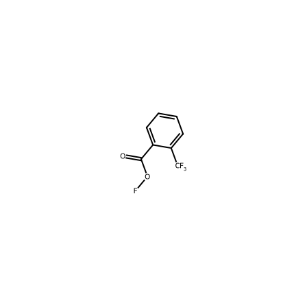 O=C(OF)c1ccccc1C(F)(F)F